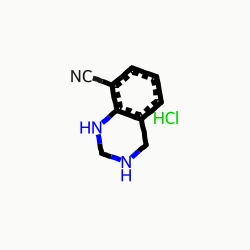 Cl.N#Cc1cccc2c1NCNC2